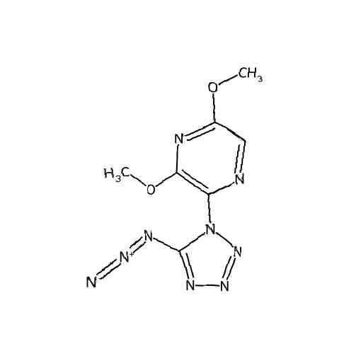 COc1cnc(-n2nnnc2N=[N+]=[N-])c(OC)n1